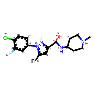 CC(C)c1cc(C(O)NC2CCN(C)CC2)nn1-c1ccc(Cl)c(F)c1